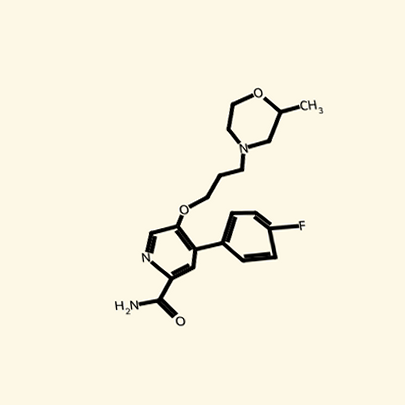 CC1CN(CCCOc2cnc(C(N)=O)cc2-c2ccc(F)cc2)CCO1